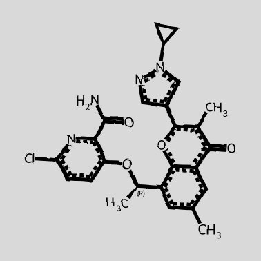 Cc1cc([C@@H](C)Oc2ccc(Cl)nc2C(N)=O)c2oc(-c3cnn(C4CC4)c3)c(C)c(=O)c2c1